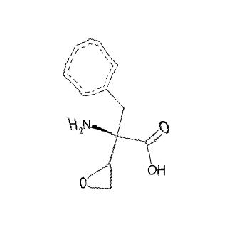 N[C@@](Cc1ccccc1)(C(=O)O)C1CO1